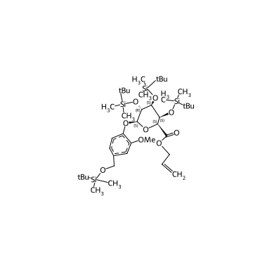 C=CCOC(=O)[C@H]1O[C@@H](Oc2ccc(CO[Si](C)(C)C(C)(C)C)cc2OC)[C@H](O[Si](C)(C)C(C)(C)C)[C@@H](O[Si](C)(C)C(C)(C)C)[C@H]1O[Si](C)(C)C(C)(C)C